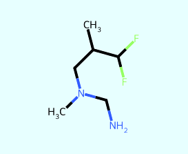 CC(CN(C)CN)C(F)F